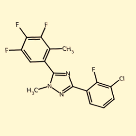 Cc1c(-c2nc(-c3cccc(Cl)c3F)nn2C)cc(F)c(F)c1F